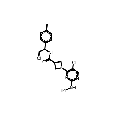 Cc1ccc(C(CO)NC(=O)C2CN(c3nc(NC(C)C)ncc3Cl)C2)cc1